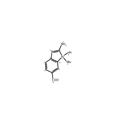 CCC[N+]1(C(C)(C)C)C(N)=Nc2ccc(C(=O)[O-])cc21